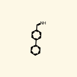 N=Cc1ccc(-c2ccccc2)cc1